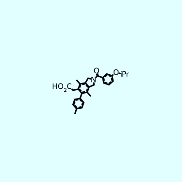 Cc1ccc(-c2c(C)c3c(c(C)c2CC(=O)O)CN(C(=O)c2cccc(OC(C)C)c2)C3)cc1